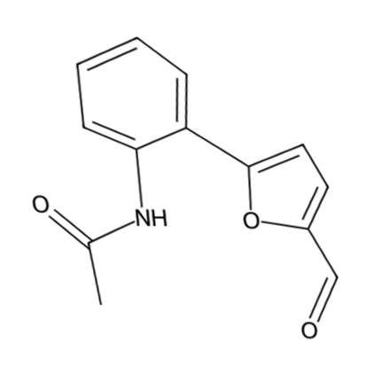 CC(=O)Nc1ccccc1-c1ccc(C=O)o1